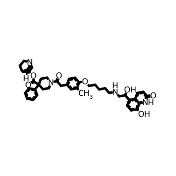 Cc1cc(CC(=O)N2CCC(C(=O)O[C@H]3CN4CCC3CC4)(c3ccccc3)CC2)ccc1OCCCCCNCC(O)c1ccc(O)c2[nH]c(=O)ccc12